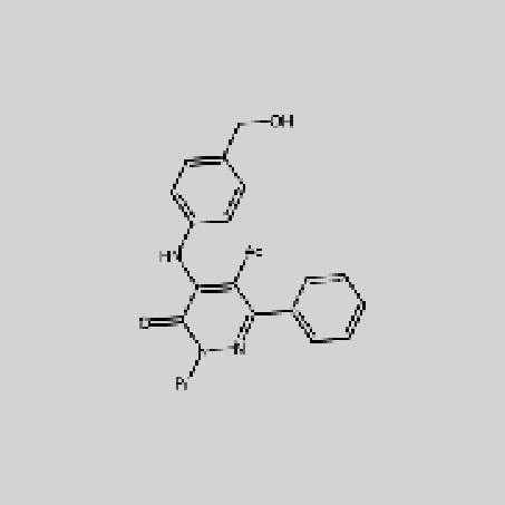 CC(=O)c1c(-c2ccccc2)nn(C(C)C)c(=O)c1Nc1ccc(CO)cc1